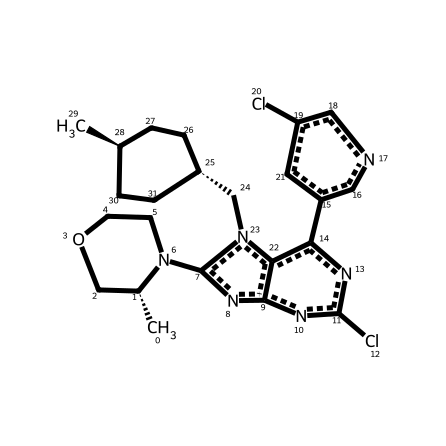 C[C@@H]1COCCN1c1nc2nc(Cl)nc(-c3cncc(Cl)c3)c2n1C[C@H]1CC[C@H](C)CC1